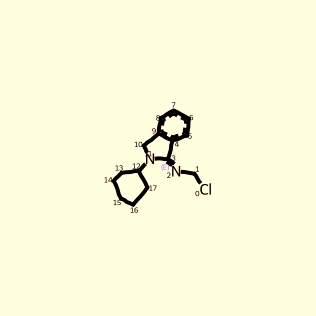 ClC/N=C1\c2ccccc2CN1C1CCCCC1